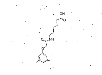 Cc1cc(C)cc(OCC(=O)NCCCCCC(=O)O)c1